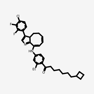 CCc1cc(N/C2=C/C=C\CCC3C(c4ccc(Cl)c(F)c4F)=CN=C23)ccc1C(=O)CCCCCCC1CCC1